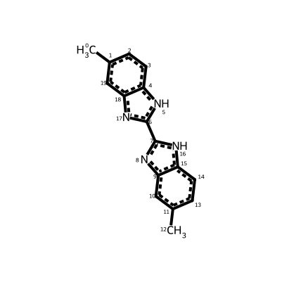 Cc1ccc2[nH]c(-c3nc4cc(C)ccc4[nH]3)nc2c1